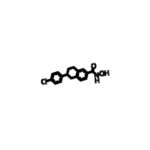 O=C(NO)c1ccc2c(c1)CCC(c1ccc(Cl)cc1)C2